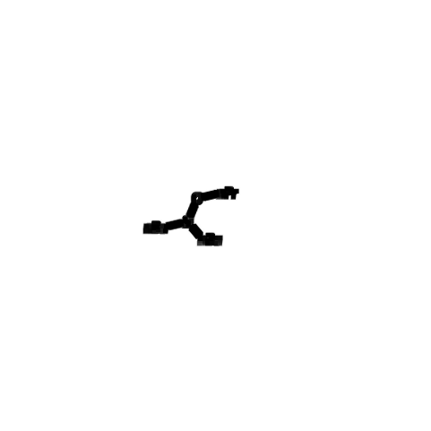 CCCC[Si](CCCC)OCCC